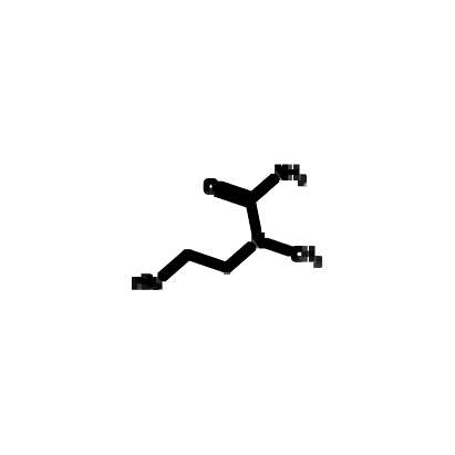 CCCCC[CH]N(C)C(N)=O